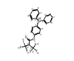 O=C(Oc1ccc([SH](c2ccccc2)c2ccccc2)cc1)C(C(F)(F)F)C(F)(F)F